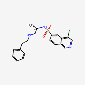 C[C@H](CNCCc1ccccc1)NS(=O)(=O)c1ccc2cncc(F)c2c1